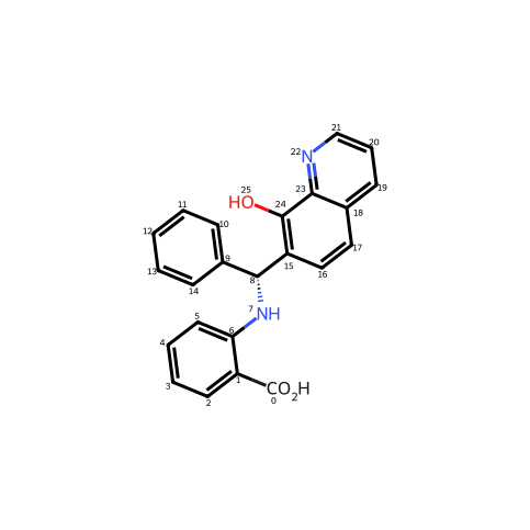 O=C(O)c1ccccc1N[C@H](c1ccccc1)c1ccc2cccnc2c1O